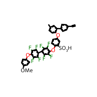 C#Cc1ccc(-c2cc(C)ccc2Oc2ccc(Oc3c(F)c(F)c(-c4c(F)c(F)c(Oc5ccc(OC)cc5)c(F)c4F)c(F)c3F)c(S(=O)(=O)O)c2)cc1